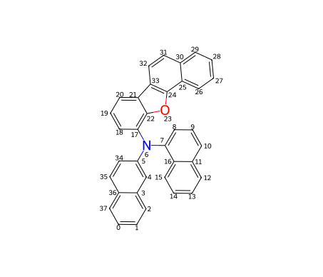 c1ccc2cc(N(c3cccc4ccccc34)c3cccc4c3oc3c5ccccc5ccc43)ccc2c1